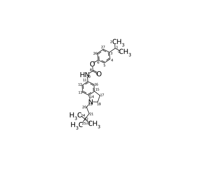 CC(C)c1ccc(OC(=O)Nc2ccc3c(c2)CCN3CCC(C)(C)C)cc1